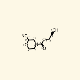 C#CCOC(=O)N1CCOC(C#N)C1